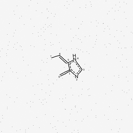 C=c1nc[nH]/c1=C/C